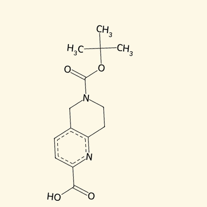 CC(C)(C)OC(=O)N1CCc2nc(C(=O)O)ccc2C1